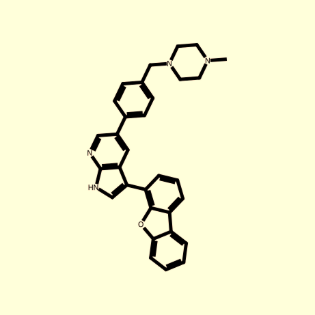 CN1CCN(Cc2ccc(-c3cnc4[nH]cc(-c5cccc6c5oc5ccccc56)c4c3)cc2)CC1